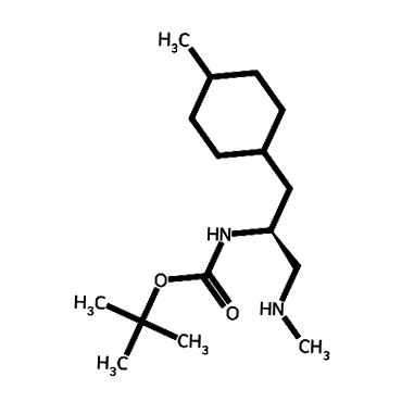 CNC[C@H](CC1CCC(C)CC1)NC(=O)OC(C)(C)C